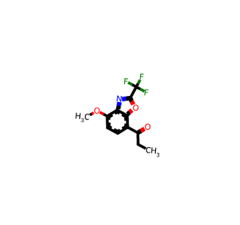 CCC(=O)c1ccc(OC)c2nc(C(F)(F)F)oc12